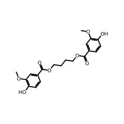 COc1cc(C(=O)OCCCCOC(=O)c2ccc(O)c(OC)c2)ccc1O